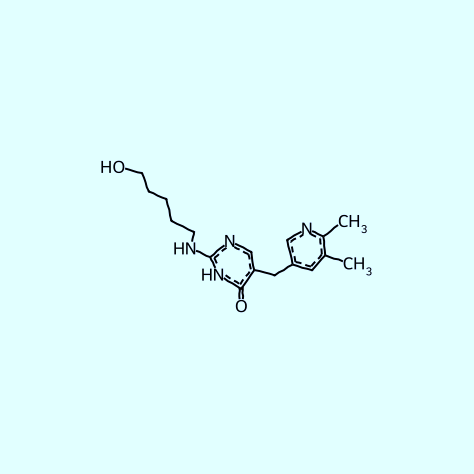 Cc1cc(Cc2cnc(NCCCCCO)[nH]c2=O)cnc1C